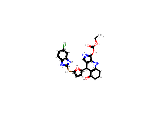 CCOC(=O)Oc1[nH]cc2c1NC1=C(C(=O)CCC1)C2c1ccc(Sc2nc3cc(Cl)ccc3[nH]2)o1